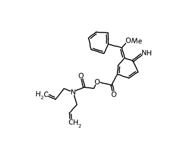 C=CCN(CC=C)C(=O)COC(=O)C1=C/C(=C(/OC)c2ccccc2)C(=N)C=C1